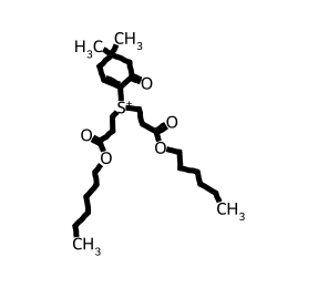 CCCCCCOC(=O)CC[S+](CCC(=O)OCCCCCC)C1=CCC(C)(C)CC1=O